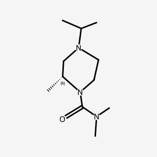 CC(C)N1CCN(C(=O)N(C)C)[C@H](C)C1